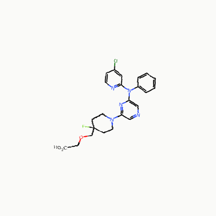 O=C(O)COCC1(F)CCN(c2cncc(N(c3ccccc3)c3cc(Cl)ccn3)n2)CC1